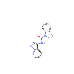 O=C(Nc1c[nH]c2ncccc12)N1CCc2ccccc21